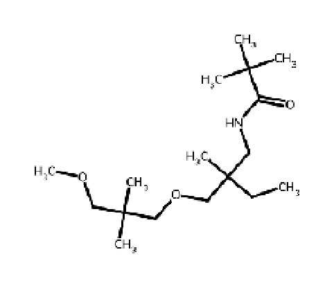 CCC(C)(CNC(=O)C(C)(C)C)COCC(C)(C)COC